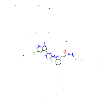 NC(=O)CCC1CCCCC1Nc1nc(-c2c[nH]c3ncc(Cl)cc23)ncc1F